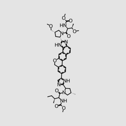 CC[C@H](C)C(NC(=O)OC)C(=O)N1C[C@@H](C)CC1c1ncc(-c2ccc3c(c2)COc2cc4c(ccc5nc([C@@H]6C[C@H](COC)CN6C(=O)[C@@H](NC(=O)OC)[C@@H](C)OC)[nH]c54)cc2-3)[nH]1